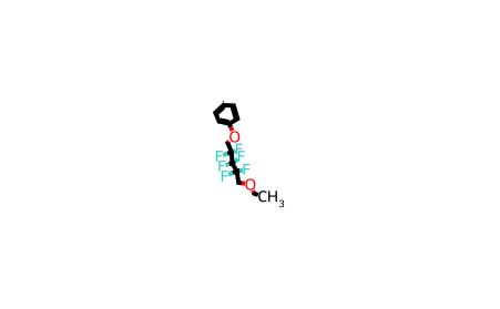 CCOCC(F)(F)C(F)(F)C(F)(F)COc1cc[c]cc1